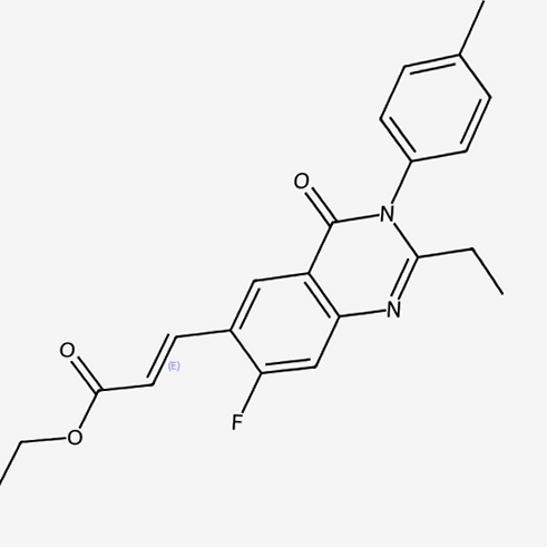 CCOC(=O)/C=C/c1cc2c(=O)n(-c3ccc(C)cc3)c(CC)nc2cc1F